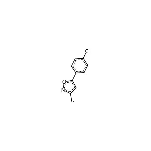 [CH2]c1cc(-c2ccc(Cl)cc2)on1